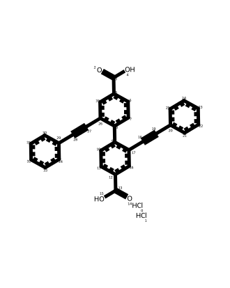 Cl.Cl.O=C(O)c1ccc(-c2ccc(C(=O)O)cc2C#Cc2ccccc2)c(C#Cc2ccccc2)c1